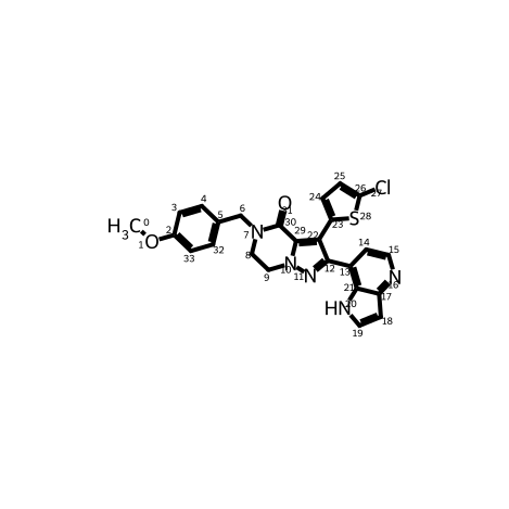 COc1ccc(CN2CCn3nc(-c4ccnc5cc[nH]c45)c(-c4ccc(Cl)s4)c3C2=O)cc1